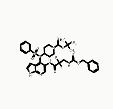 CC(C)(C)OC(=O)N1CCC(N(c2c(NC(=O)C(F)(F)CNC(=O)OCc3ccccc3)cnc3[nH]ccc23)S(=O)(=O)c2ccccc2)CC1